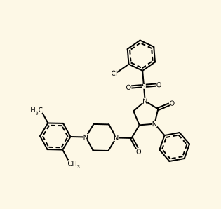 Cc1ccc(C)c(N2CCN(C(=O)C3CN(S(=O)(=O)c4ccccc4Cl)C(=O)N3c3ccccc3)CC2)c1